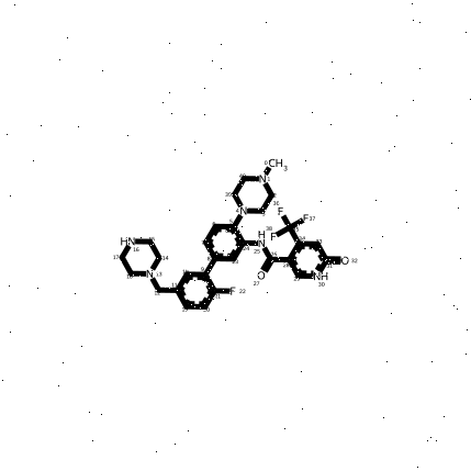 CN1CCN(c2ccc(-c3cc(CN4CCNCC4)ccc3F)cc2NC(=O)c2c[nH]c(=O)cc2C(F)(F)F)CC1